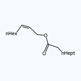 CCCCCC/C=C\COC(=O)CCCCCCCC